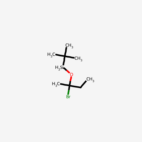 CCC(C)(Br)O[SiH2]C(C)(C)C